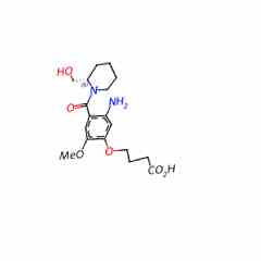 COc1cc(C(=O)N2CCCC[C@H]2CO)c(N)cc1OCCCC(=O)O